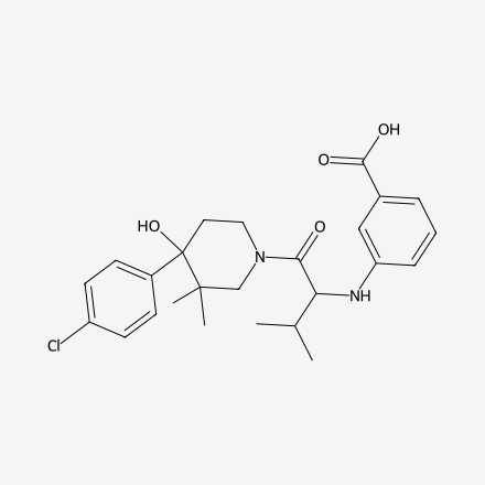 CC(C)C(Nc1cccc(C(=O)O)c1)C(=O)N1CCC(O)(c2ccc(Cl)cc2)C(C)(C)C1